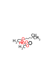 C=C(Oc1ccccc1)C(=O)O.C=CC(=O)OCCCCCC(C)C